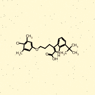 Cc1cc(OCCCc2c(C(=O)O)[nH]c3c(C(C)(C)C)cccc23)cc(C)c1Cl